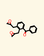 O=C(c1ccccc1)c1cccc(CC2CO2)c1CC1CO1